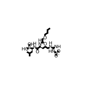 CCCCOCC(=O)N[C@@H](CCCNC(=N)N[N+](=O)[O-])C(=O)N[C@@H](CC(C)C)B(O)O